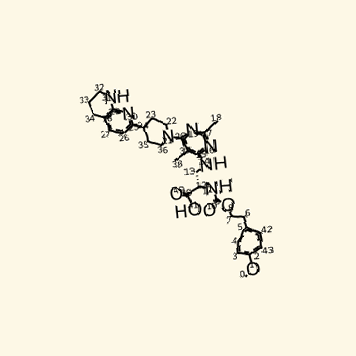 COc1ccc(CCOC(=O)N[C@@H](CNc2nc(C)nc(N3CCC(c4ccc5c(n4)NCCC5)CC3)c2C)C(=O)O)cc1